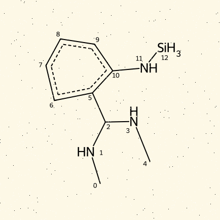 CNC(NC)c1ccccc1N[SiH3]